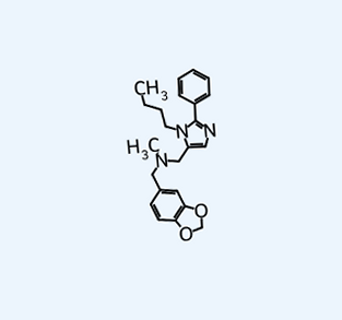 CCCCn1c(CN(C)Cc2ccc3c(c2)OCO3)cnc1-c1ccccc1